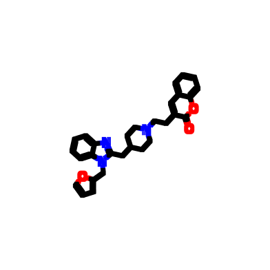 O=c1oc2ccccc2cc1CCN1CCC(Cc2nc3ccccc3n2Cc2ccco2)CC1